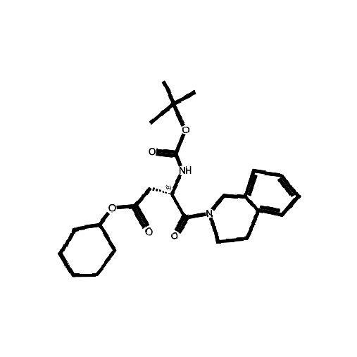 CC(C)(C)OC(=O)N[C@@H](CC(=O)OC1CCCCC1)C(=O)N1CCc2ccccc2C1